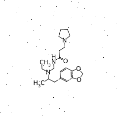 CCN(CNC(=O)CCN1CCCC1)C(C)Cc1ccc2c(c1)OCO2